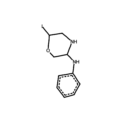 IC1CNC(Nc2ccccc2)CO1